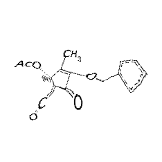 CC(=O)O[C@H]1C(=C=O)C(=O)C(OCc2ccccc2)=C1C